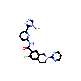 CC(C)n1cnnc1-c1cccc(NC(=O)c2cc3c(cc2F)CCN(c2ncccn2)C3)n1